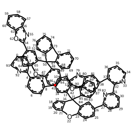 c1ccc(-c2cccc(-c3ccc4c(c3)C3(c5ccccc5Oc5ccc(-c6cccc(-c7ncccc7-c7ccc8oc(-c9ccc%10c(c9)C9(c%11cc(-c%12nc%13ccccc%13o%12)ccc%11O%10)c%10ccccc%10-c%10ccccc%109)nc8c7)n6)cc53)c3ccccc3-4)n2)nc1